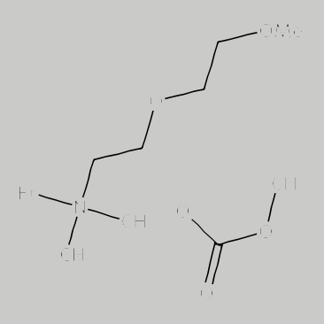 CC[N+](C)(C)CCOCCOC.COC(=O)[O-]